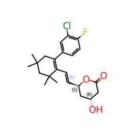 CC1(C)CC(c2ccc(F)c(Cl)c2)=C(/C=C/[C@@H]2C[C@@H](O)CC(=O)O2)C(C)(C)C1